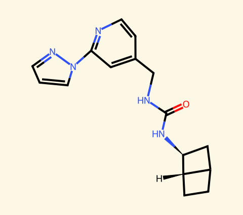 O=C(NCc1ccnc(-n2cccn2)c1)N[C@H]1CC2CC[C@@H]21